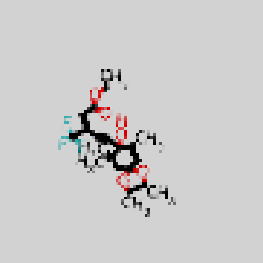 CCOC(=O)/C=C(\C#CC1(O)C(C)=CC2(CC1(C)C)OC(C)C(C)O2)C(F)(F)F